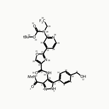 CNC(=O)c1n[nH]c(-c2ccc(CO)cc2)c1NC(=O)c1coc(-c2ccnc(N(CC(F)(F)F)C(=O)OC(C)(C)C)c2)n1